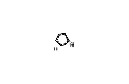 I.I.[Ru].c1ccccc1